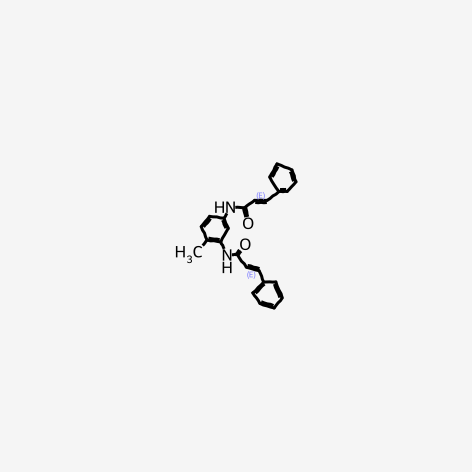 Cc1ccc(NC(=O)/C=C/c2ccccc2)cc1NC(=O)/C=C/c1ccccc1